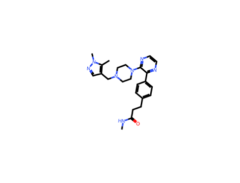 CNC(=O)CCc1ccc(-c2nccnc2N2CCN(Cc3cnn(C)c3C)CC2)cc1